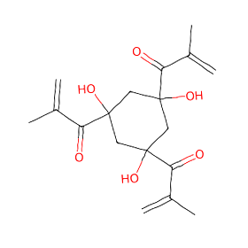 C=C(C)C(=O)C1(O)CC(O)(C(=O)C(=C)C)CC(O)(C(=O)C(=C)C)C1